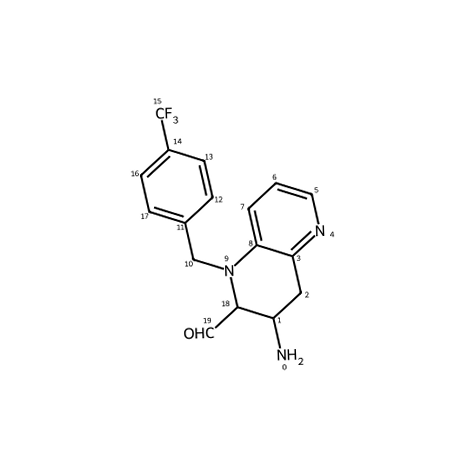 NC1Cc2ncccc2N(Cc2ccc(C(F)(F)F)cc2)C1C=O